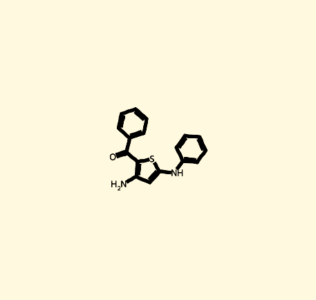 Nc1cc(Nc2ccccc2)sc1C(=O)c1ccccc1